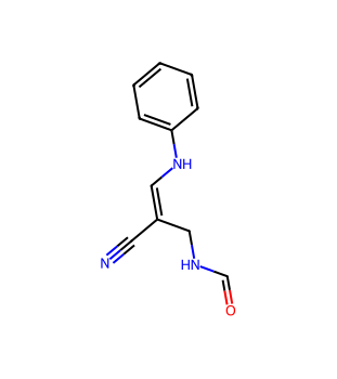 N#C/C(=C/Nc1ccccc1)CNC=O